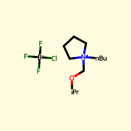 CCCC[N+]1(COC(C)C)CCCC1.F[B-](F)(F)Cl